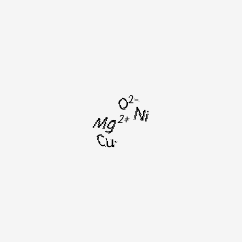 [Cu].[Mg+2].[Ni].[O-2]